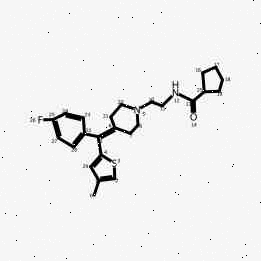 Cc1csc(C(=C2CCN(CCNC(=O)C3CCCC3)CC2)c2ccc(F)cc2)c1